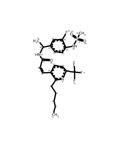 CCCCCc1nc(C(F)(F)F)ccc1/C=C\C(=O)NC(C)c1ccc(NS(C)(=O)=O)c(F)c1